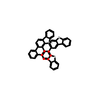 c1ccc(-c2ccc3c([nH]c4ccccc43)c2-c2ccccc2-c2ccc3sc4ccccc4c3c2)c(-c2ccc3sc4ccccc4c3c2)c1